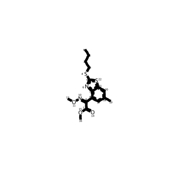 CCCCSc1nc2c(C(=NOC)C(=O)OC)cc(C)cc2s1